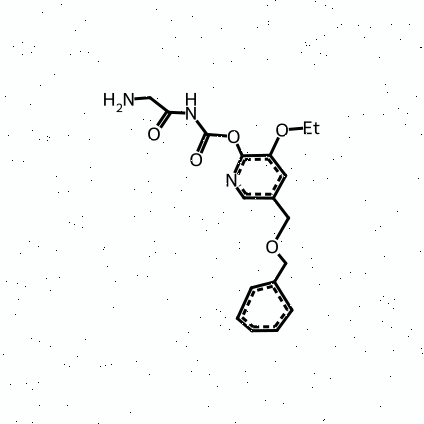 CCOc1cc(COCc2ccccc2)cnc1OC(=O)NC(=O)CN